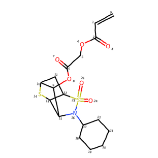 C=CC(=O)OCC(=O)OC1C2CC3C(S2)C1N(C1CCCCC1)S3(=O)=O